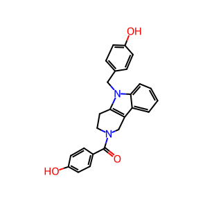 O=C(c1ccc(O)cc1)N1CCc2c(c3ccccc3n2Cc2ccc(O)cc2)C1